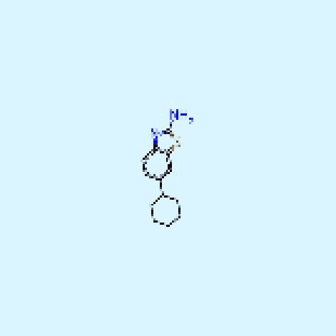 Nc1nc2ccc(C3CCCCC3)cc2s1